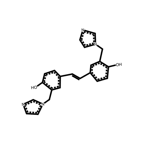 Oc1ccc(/C=C/c2ccc(O)c(Cn3ccnc3)c2)cc1Cn1ccnc1